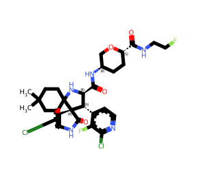 CC1(C)CCC2(CC1)N[C@@H](C(=O)N[C@@H]1CC[C@@H](C(=O)NCCF)OC1)[C@H](c1ccnc(Cl)c1F)[C@]21C(=O)Nc2cc(Cl)ccc21